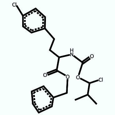 CC(C)C(Cl)OC(=O)NC(CCc1ccc(Cl)cc1)C(=O)OCc1ccccc1